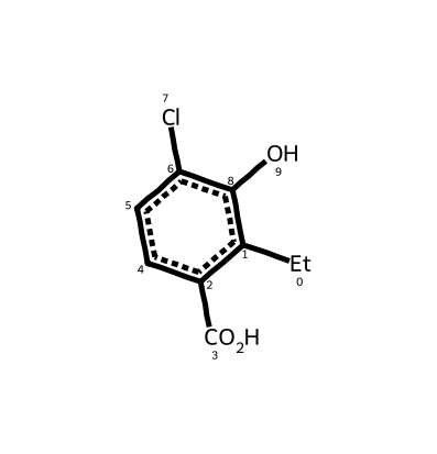 CCc1c(C(=O)O)ccc(Cl)c1O